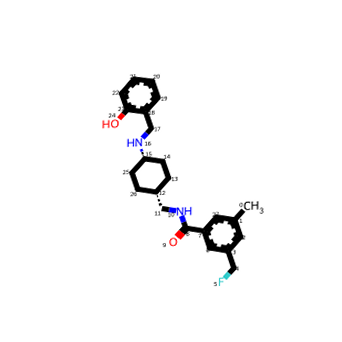 Cc1cc(CF)cc(C(=O)NC[C@H]2CC[C@@H](NCc3ccccc3O)CC2)c1